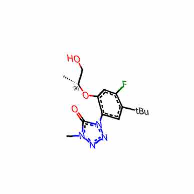 C[C@H](CO)Oc1cc(F)c(C(C)(C)C)cc1-n1nnn(C)c1=O